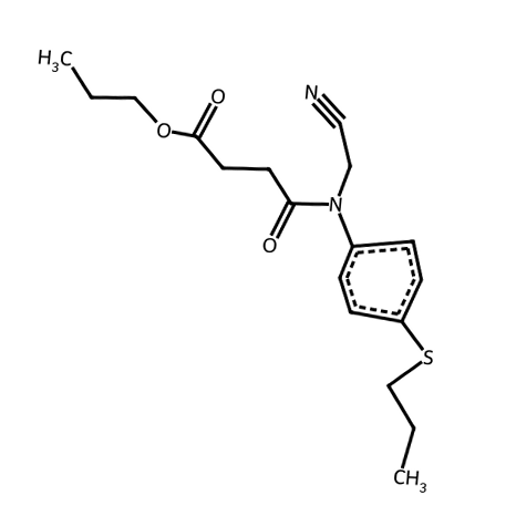 CCCOC(=O)CCC(=O)N(CC#N)c1ccc(SCCC)cc1